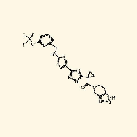 O=C(N1CCc2[nH]nnc2C1)C1(c2nnc(-c3cnc(NCc4cccc(OC(F)(F)F)c4)nc3)o2)CC1